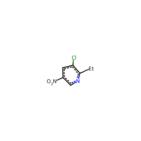 CCc1ncc([N+](=O)[O-])cc1Cl